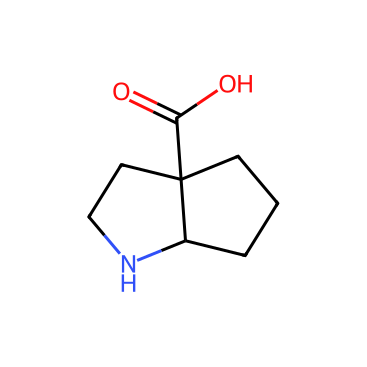 O=C(O)C12CCCC1NCC2